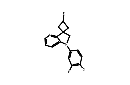 Fc1cc(N2CC3(CC(F)C3)c3ncccc32)ccc1Cl